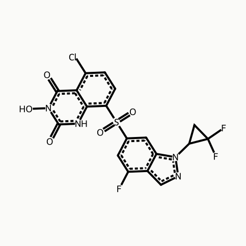 O=c1[nH]c2c(S(=O)(=O)c3cc(F)c4cnn(C5CC5(F)F)c4c3)ccc(Cl)c2c(=O)n1O